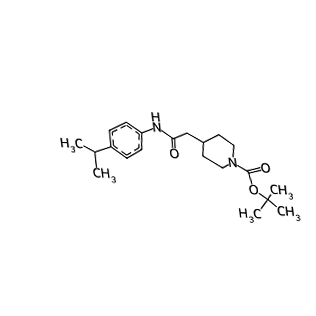 CC(C)c1ccc(NC(=O)CC2CCN(C(=O)OC(C)(C)C)CC2)cc1